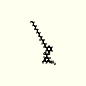 CCCCCCCCCCCCCCCc1cccc(OC(=O)c2cc(C)cc(N)c2)c1